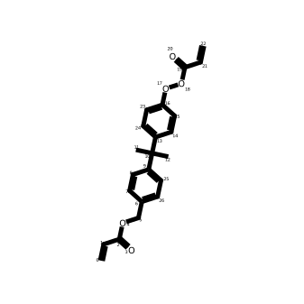 C=CC(=O)OCc1ccc(C(C)(C)c2ccc(OOC(=O)C=C)cc2)cc1